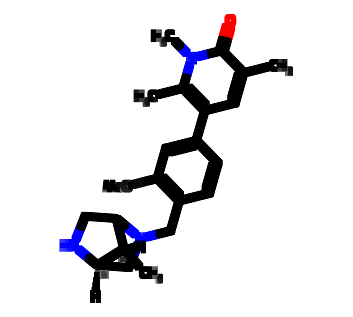 COc1cc(-c2cc(C)c(=O)n(C)c2C)ccc1CN1C[C@H]2NCC1[C@@H]2C